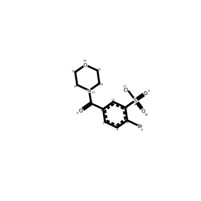 O=C(c1ccc(Br)c(S(=O)(=O)Cl)c1)N1CCOCC1